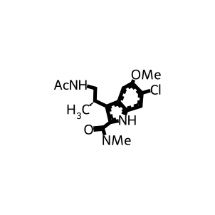 CNC(=O)c1[nH]c2cc(Cl)c(OC)cc2c1[C@H](C)CNC(C)=O